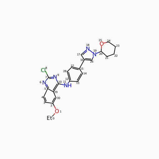 CCOc1ccc2nc(Cl)nc(Nc3ccc(-c4cnn(C5CCCCO5)c4)cc3)c2c1